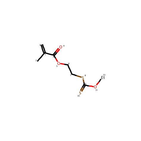 C=C(C)C(=O)OCCSC(=S)OCC